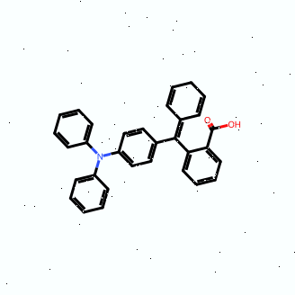 O=C(O)c1ccccc1C(=C1C=CCC=C1)c1ccc(N(c2ccccc2)c2ccccc2)cc1